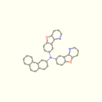 c1ccc2c(c1)ccc1ccc(N(c3ccc4oc5cccnc5c4c3)c3ccc4oc5cccnc5c4c3)cc12